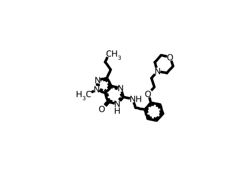 CCCc1nn(C)c2c(=O)[nH]c(NCc3ccccc3OCCN3CCOCC3)nc12